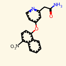 NC(=O)Cc1cc(Oc2ccc([N+](=O)[O-])c3ccccc23)ccn1